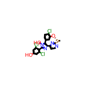 COc1cc(-c2c(-c3ccnc(SC)n3)nc(-c3c(Cl)cc(O)cc3Cl)n2O)ccc1Cl